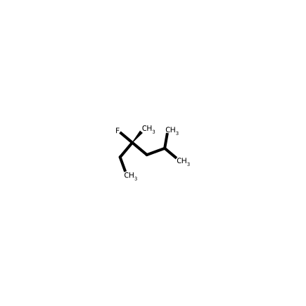 CC[C@](C)(F)CC(C)C